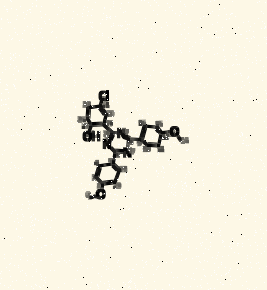 COc1ccc(-c2nc(-c3ccc(OC)cc3)nc(-c3cc(Cl)ccc3O)n2)cc1